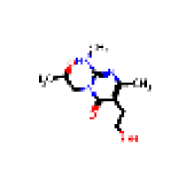 CNc1nc(C)c(CCO)c(=O)n1CC(C)=O